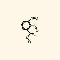 O=NC(=O)c1cccc(N=O)c1N=O